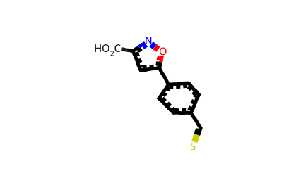 O=C(O)c1cc(-c2ccc(C=S)cc2)on1